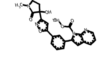 CN1CCC(O)(c2cc(-c3cccc(-c4cc5cccnc5n4C(=O)OC(C)(C)C)c3)on2)C1=O